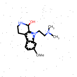 COc1ccc2c3c(n(CCN(C)C)c2c1)C(O)NCC3